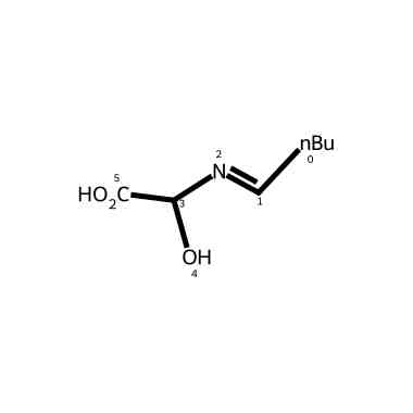 CCCCC=NC(O)C(=O)O